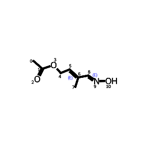 CC(=O)OC/C=C(C)/C=N/O